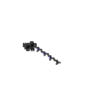 CC(C)=CCC/C(C)=C/CC/C(C)=C/CC/C(C)=C/CO[PH](=O)O[PH](=O)O